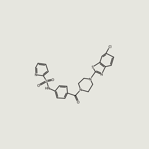 O=C(c1ccc(NS(=O)(=O)c2ccccn2)cc1)N1CCN(c2nc3ccc(Cl)cc3s2)CC1